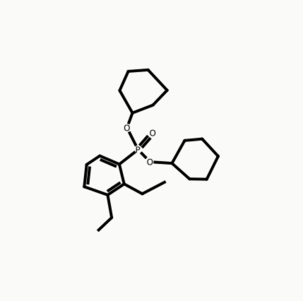 CCc1cccc(P(=O)(OC2CCCCC2)OC2CCCCC2)c1CC